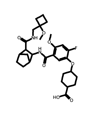 COc1cc(F)c(OC2CCC(C(=O)O)CC2)cc1C(=O)NC1C2CCC(C2)C1C(=O)NCC1(OC)CCC1